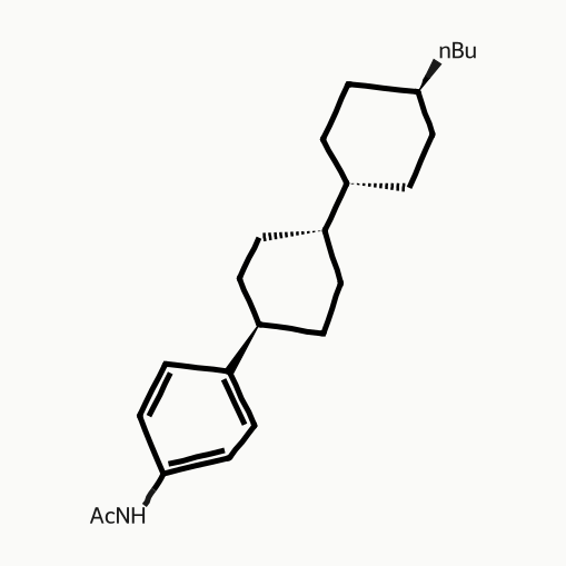 CCCC[C@H]1CC[C@H]([C@H]2CC[C@H](c3ccc(NC(C)=O)cc3)CC2)CC1